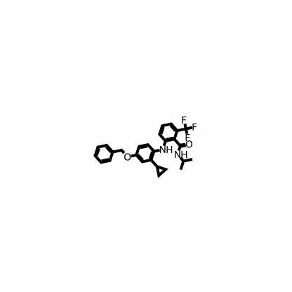 CC(C)NC(=O)c1c(Nc2ccc(OCc3ccccc3)cc2C2CC2)cccc1C(F)(F)F